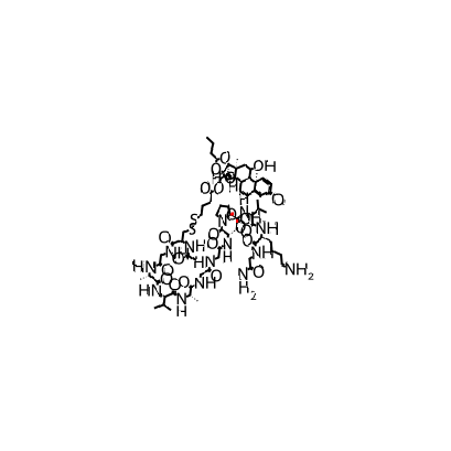 CCCC1O[C@@H]2C[C@H]3C4CCC5=CC(=O)C=C[C@]5(C)C4C(O)C[C@]3(C)[C@]2(C(=O)COC(=O)CCCSSCC(NC(C)=O)C(=O)NCC(=O)N[C@@H](C)C(=O)N[C@H](C(=O)N[C@@H](C)C(=O)NCC(=O)NCC(=O)N[C@@H](CC(=O)O)C(=O)N2CCC[C@H]2C(=O)N[C@H](C(=O)N[C@@H](CCCCN)C(=O)NCC(N)=O)C(C)C)C(C)C)O1